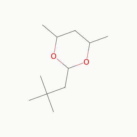 CC1CC(C)OC(CC(C)(C)C)O1